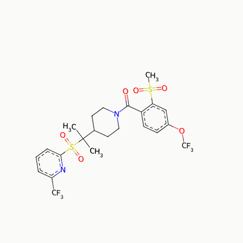 CC(C)(C1CCN(C(=O)c2ccc(OC(F)(F)F)cc2S(C)(=O)=O)CC1)S(=O)(=O)c1cccc(C(F)(F)F)n1